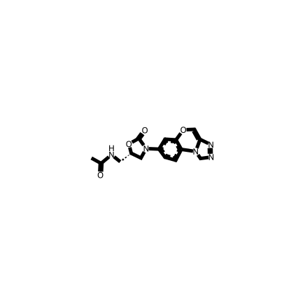 CC(=O)NC[C@H]1CN(c2ccc3c(c2)OC=C2N=NCN23)C(=O)O1